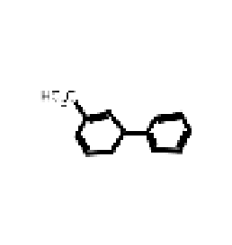 O=C(O)C1=CC(c2ccccc2)CC=C1